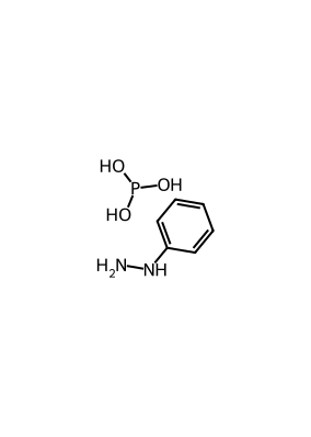 NNc1ccccc1.OP(O)O